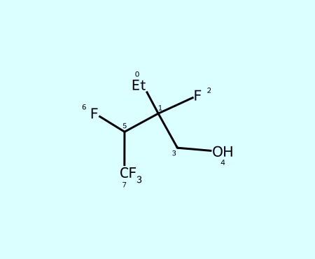 CCC(F)(CO)C(F)C(F)(F)F